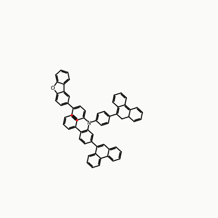 C1=CC2=c3ccccc3=C(c3ccc(N(c4ccc(-c5ccc6oc7ccccc7c6c5)cc4)c4cc(-c5cc6ccccc6c6ccccc56)ccc4-c4ccccc4)cc3)CC2C=C1